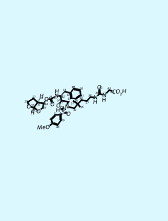 COc1ccc(S(=O)(=O)N(C[C@@H](O)[C@H](Cc2ccccc2)NC(=O)O[C@H]2CO[C@H]3OCC[C@H]32)CC(C)(C)CCCNC(=O)NCC(=O)O)cc1